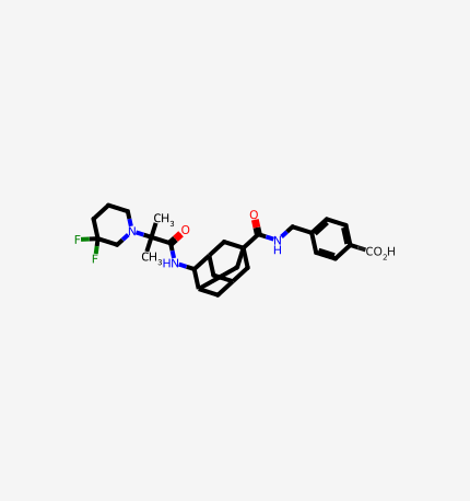 CC(C)(C(=O)NC1C2CC3CC1CC(C(=O)NCc1ccc(C(=O)O)cc1)(C3)C2)N1CCCC(F)(F)C1